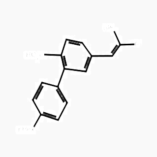 CCCCCCc1ccc(-c2cc(/C=C(/F)CCC)ccc2C(=O)O)cc1